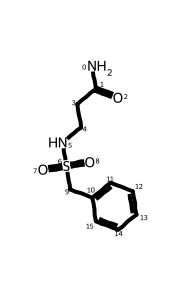 NC(=O)CCNS(=O)(=O)Cc1ccccc1